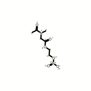 [CH2]C(=O)N(C)CC(=O)OCCO[N+](=O)[O-]